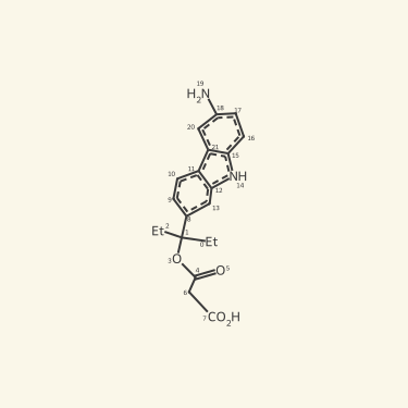 CCC(CC)(OC(=O)CC(=O)O)c1ccc2c(c1)[nH]c1ccc(N)cc12